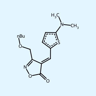 CCCCOCC1=NOC(=O)/C1=C/c1ccc(N(C)C)s1